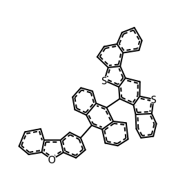 c1ccc2c(c1)ccc1sc3c(-c4c5ccccc5c(-c5ccc6oc7ccccc7c6c5)c5ccccc45)c4c(cc3c12)sc1ccccc14